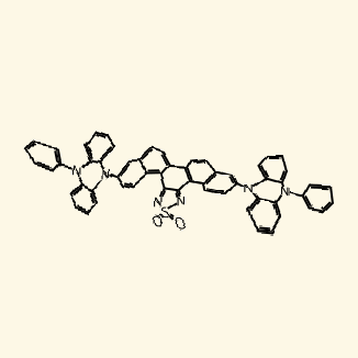 O=S1(=O)N=c2c(c3c4ccc(N5c6ccccc6N(c6ccccc6)c6ccccc65)cc4ccc3c3ccc4cc(N5c6ccccc6N(c6ccccc6)c6ccccc65)ccc4c23)=N1